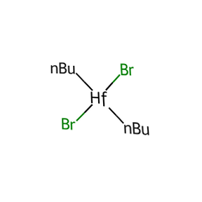 CCC[CH2][Hf]([Br])([Br])[CH2]CCC